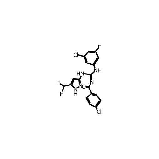 O=C(/N=C(/Nc1cc(F)cc(Cl)c1)Nc1cc(C(F)F)[nH]n1)c1ccc(Cl)cc1